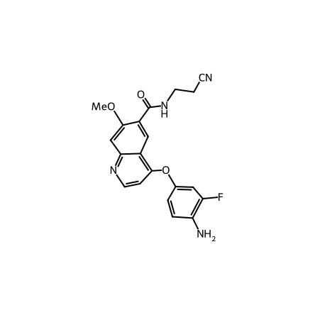 COc1cc2nccc(Oc3ccc(N)c(F)c3)c2cc1C(=O)NCCC#N